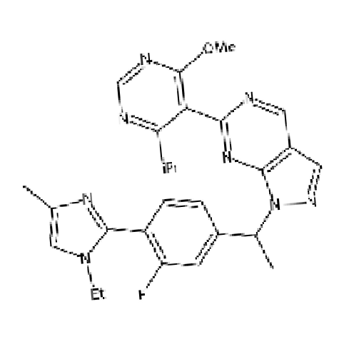 CCn1cc(C)nc1-c1ccc(C(C)n2ncc3cnc(-c4c(OC)ncnc4C(C)C)nc32)cc1F